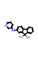 CC1(C)c2ccccc2-c2ccc(Nc3cccnc3)cc21